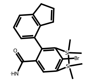 C[Si]1(C)c2cc(C([NH])=O)c(-c3cccc4c3C=CC4)c(c2Br)[Si]1(C)C